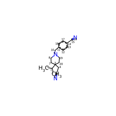 CC(C)C1(CC#N)CCN(Cc2ccc(C#N)cc2)CC1